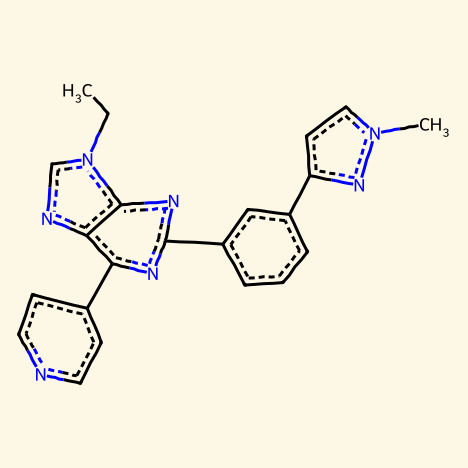 CCn1cnc2c(-c3ccncc3)nc(-c3cccc(-c4ccn(C)n4)c3)nc21